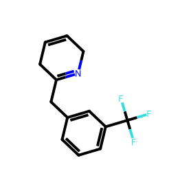 FC(F)(F)c1cccc(CC2=NCC=CC2)c1